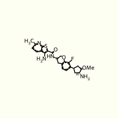 CO[C@@H]1CC(c2ccc3c(c2F)OC[C@H](NC(=O)c2sc4nc(C)ccc4c2N)C3)C[C@H]1N